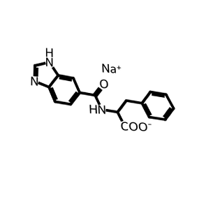 O=C(NC(Cc1ccccc1)C(=O)[O-])c1ccc2nc[nH]c2c1.[Na+]